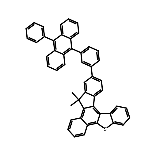 CC1(C)c2cc(-c3cccc(-c4c5ccccc5c(-c5ccccc5)c5ccccc45)c3)ccc2-c2c1c1ccccc1c1sc3ccccc3c21